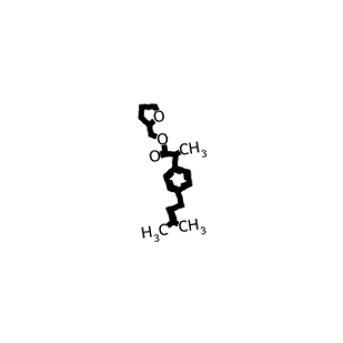 CC(C)=CCc1ccc(C(C)C(=O)OCC2CCCO2)cc1